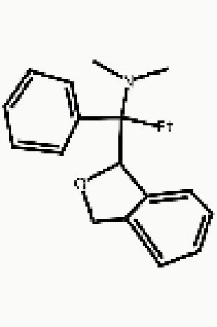 CCC(c1ccccc1)(C1OCc2ccccc21)N(C)C